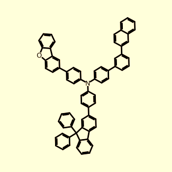 c1ccc(C2(c3ccccc3)c3ccccc3-c3ccc(-c4ccc(N(c5ccc(-c6cccc(-c7ccc8ccccc8c7)c6)cc5)c5ccc(-c6ccc7oc8ccccc8c7c6)cc5)cc4)cc32)cc1